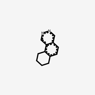 c1cc2cnncc2c2c1CCCC2